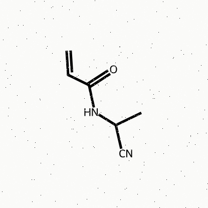 C=CC(=O)NC(C)C#N